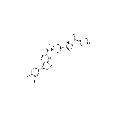 Cc1ccc(N2CC(C)(C)c3nc(C(=O)N4CCN(c5nc(C(=O)N6CCOCC6)cs5)CC4(C)C)ccc32)cc1F